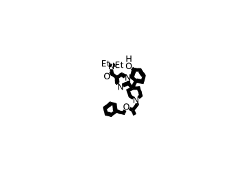 CCN(CC)C(=O)c1cnc(C2(c3cccc(O)c3)CCN(CC(C)OCc3ccccc3)CC2)nc1